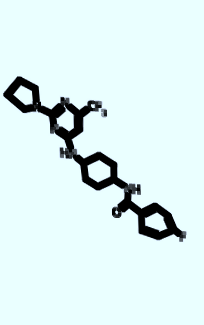 O=C(NC1CCC(Nc2cc(C(F)(F)F)nc(N3CCCC3)n2)CC1)c1ccc(F)cc1